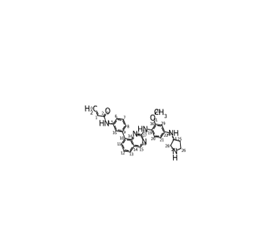 C=CC(=O)Nc1cccc(-c2cccc3cnc(Nc4ccc(N[C@H]5CCNC5)cc4OC)nc23)c1